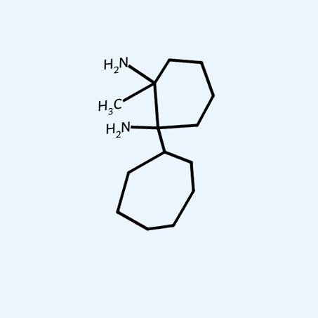 CC1(N)CCCCC1(N)C1CCCCCC1